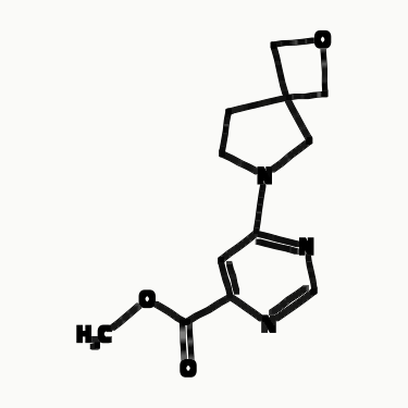 COC(=O)c1cc(N2CCC3(COC3)C2)ncn1